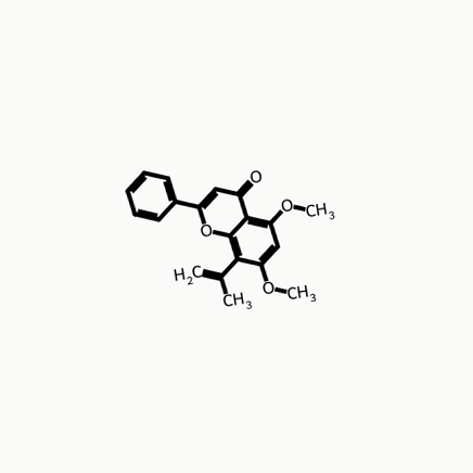 C=C(C)c1c(OC)cc(OC)c2c(=O)cc(-c3ccccc3)oc12